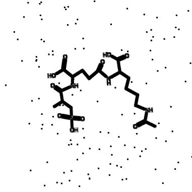 CC(=O)NCCCCC(NC(=O)CCC(NC(=O)C(C)CS(=O)(=O)O)C(=O)O)C(=O)O